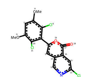 COc1cc(OC)c(Cl)c(-c2cc3cnc(Cl)cc3c(=O)o2)c1Cl